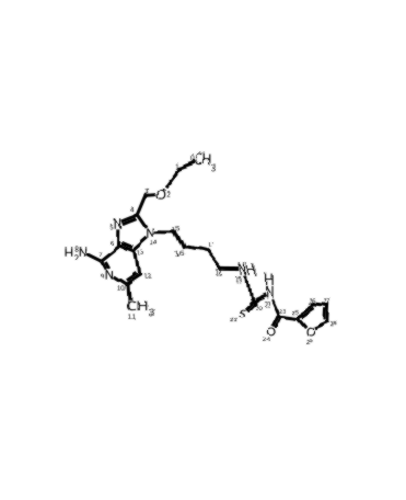 CCOCc1nc2c(N)nc(C)cc2n1CCCCNC(=S)NC(=O)c1ccco1